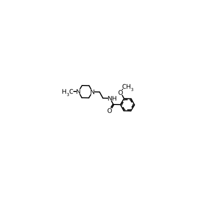 COc1ccccc1C(=O)NCCN1CCN(C)CC1